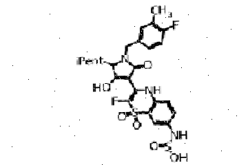 CCC[C@H](C)C1C(O)=C(C2=C(F)S(=O)(=O)c3cc(NS(=O)O)ccc3N2)C(=O)N1Cc1ccc(F)c(C)c1